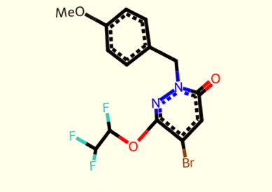 COc1ccc(Cn2nc(OC(F)C(F)F)c(Br)cc2=O)cc1